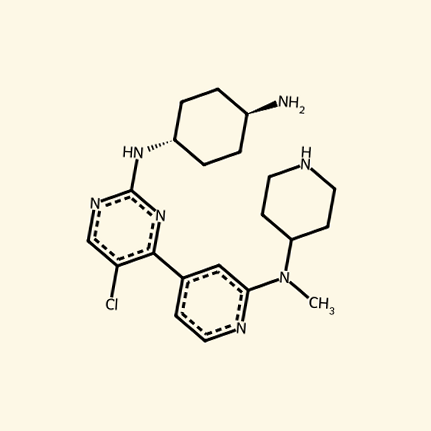 CN(c1cc(-c2nc(N[C@H]3CC[C@H](N)CC3)ncc2Cl)ccn1)C1CCNCC1